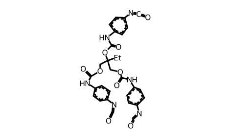 CCC(COC(=O)Nc1ccc(N=C=O)cc1)(COC(=O)Nc1ccc(N=C=O)cc1)OC(=O)Nc1ccc(N=C=O)cc1